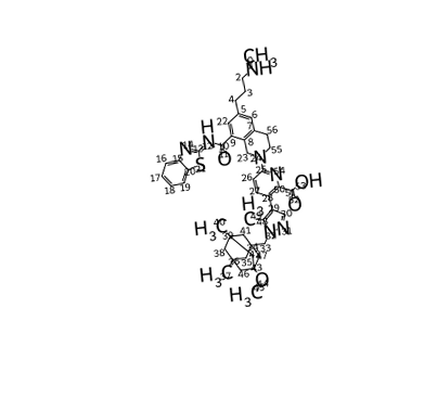 CNCCCc1cc2c(c(C(=O)Nc3nc4ccccc4s3)c1)CN(c1ccc(-c3cnn(CC45CC6(C)CC(C)(C4)CC(OC)(C6)C5)c3C)c(C(=O)O)n1)CC2